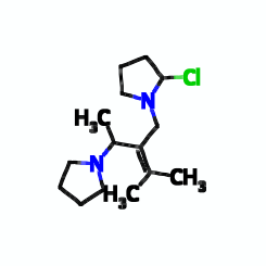 CC(C)=C(CN1CCCC1Cl)C(C)N1CCCC1